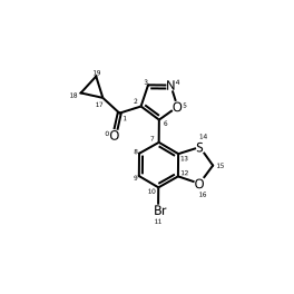 O=C(c1cnoc1-c1ccc(Br)c2c1SCO2)C1CC1